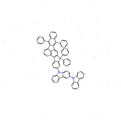 c1ccc(-c2c3c(c(-c4ccccc4)c4ccccc24)-c2cc4c(c5cccc-3c25)-c2ccc(-n3c5ccccc5c5cc(-n6c7ccccc7c7ccccc76)ccc53)cc2C4(c2ccccc2)c2ccccc2)cc1